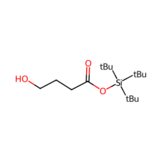 CC(C)(C)[Si](OC(=O)CCCO)(C(C)(C)C)C(C)(C)C